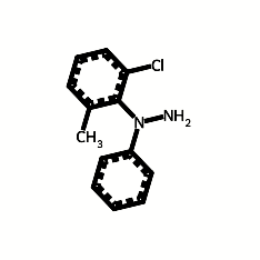 Cc1cccc(Cl)c1N(N)c1ccccc1